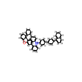 c1ccc(-c2ccc(N(c3ccc(-c4ccc(-c5cccc6ccccc56)cc4)cc3)c3ccccc3-c3ccc4c(c3)oc3ccccc34)cc2)cc1